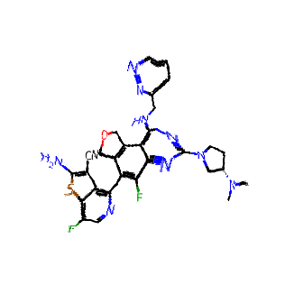 CN(C)[C@H]1CCN(c2nc(NCc3cccnn3)c3c4c(c(-c5ncc(F)c6sc(N)c(C#N)c56)c(F)c3n2)COC4)C1